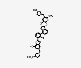 COc1nc(O[C@@H]2CCc3c(-c4cccc(-c5nc6cc(CN7CC[C@@H](C(=O)O)C7)cc(C#N)c6o5)c4Cl)cccc32)c(Cl)cc1CN1CC[C@@H](O)C1